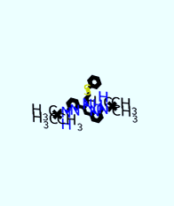 CC(C)(C)CNc1cccc(CC(NCCSc2ccccc2)c2cccc(NCC(C)(C)C)n2)n1